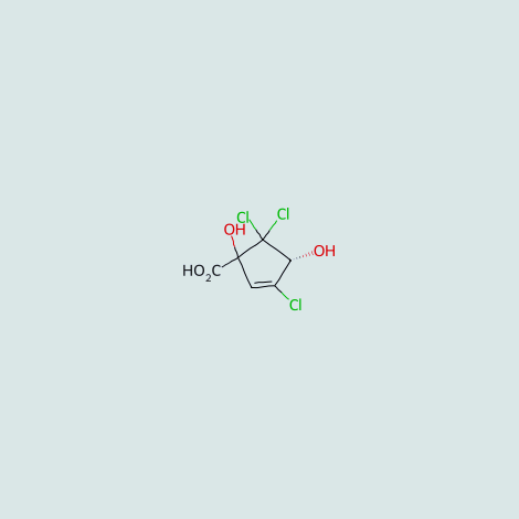 O=C(O)C1(O)C=C(Cl)[C@@H](O)C1(Cl)Cl